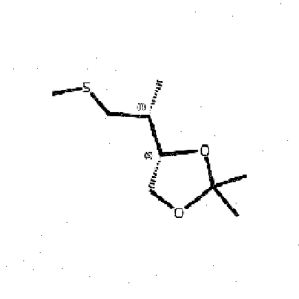 CSC[C@H](C)[C@H]1COC(C)(C)O1